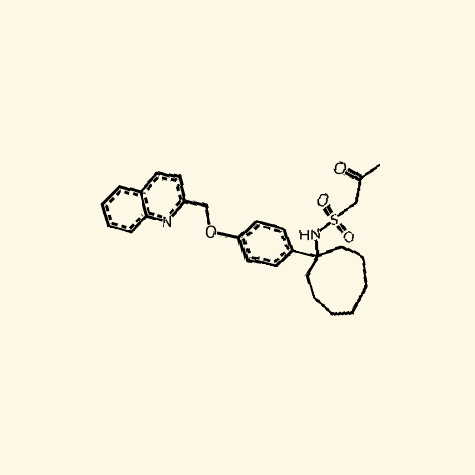 CC(=O)CS(=O)(=O)NC1(c2ccc(OCc3ccc4ccccc4n3)cc2)CCCCCCC1